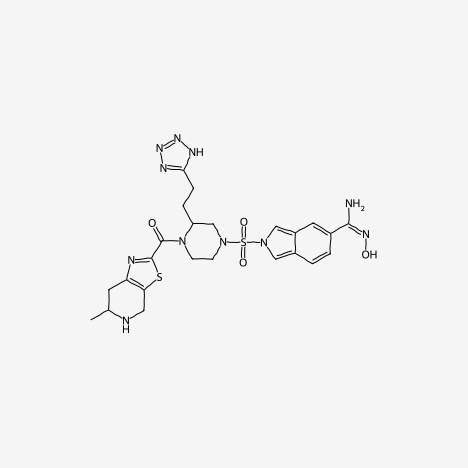 CC1Cc2nc(C(=O)N3CCN(S(=O)(=O)n4cc5ccc(/C(N)=N\O)cc5c4)CC3CCc3nnn[nH]3)sc2CN1